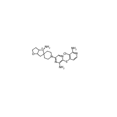 Nc1nc(N2CCC3(CC2)CC2OCCC2[C@H]3N)cnc1Sc1ccnc(N)c1Cl